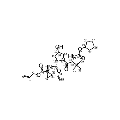 C=CCOC(=O)[C@@]1(NC(=O)[C@@H]2C[C@@H](O)CN2C(=O)[C@@H](NC(=O)OC2CCCC2)C(C)(C)C)C[C@H]1C=C